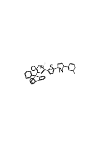 CC1C=C(C2=NC(c3ccc(C4=CC5=C(C[C@@H]4C)Oc4ccccc4C54c5ccccc5-c5ccccc54)s3)C=C2)C=CC1